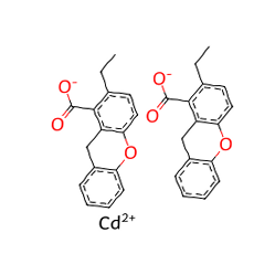 CCc1ccc2c(c1C(=O)[O-])Cc1ccccc1O2.CCc1ccc2c(c1C(=O)[O-])Cc1ccccc1O2.[Cd+2]